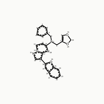 C1=C(CN(Cc2ccccc2)c2ccn3ncc(-c4cc5ccccc5o4)c3n2)OCO1